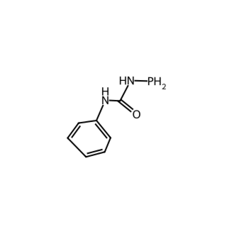 O=C(NP)Nc1ccccc1